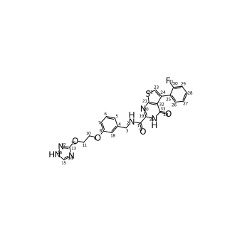 O=C(NCc1cccc(OCCOc2nc[nH]n2)c1)c1nc2scc(-c3ccccc3F)c2c(=O)[nH]1